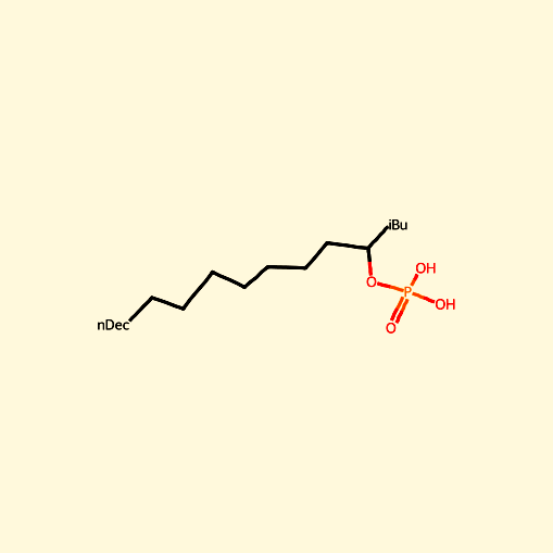 CCCCCCCCCCCCCCCCCC(OP(=O)(O)O)C(C)CC